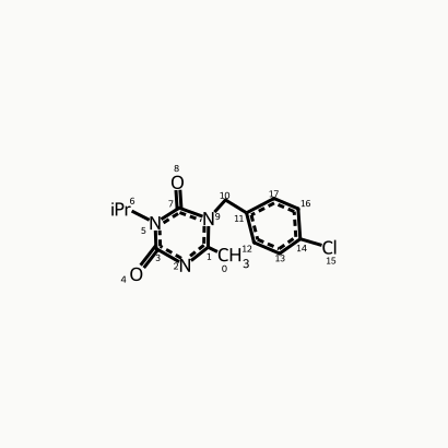 Cc1nc(=O)n(C(C)C)c(=O)n1Cc1ccc(Cl)cc1